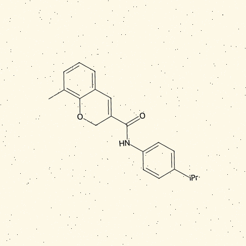 C[C](C)c1ccc(NC(=O)C2=Cc3cccc(C)c3OC2)cc1